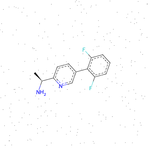 C[C@H](N)c1ccc(-c2c(F)cccc2F)cn1